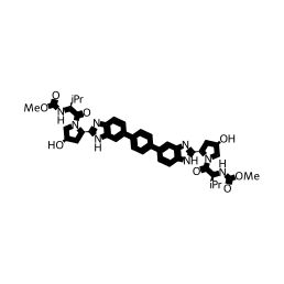 COC(=O)N[C@H](C(=O)N1C[C@H](O)C[C@H]1c1nc2cc(-c3ccc(-c4ccc5nc([C@@H]6C[C@@H](O)CN6C(=O)[C@H](NC(=O)OC)C(C)C)[nH]c5c4)cc3)ccc2[nH]1)C(C)C